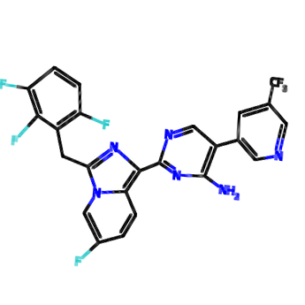 Nc1nc(-c2nc(Cc3c(F)ccc(F)c3F)n3cc(F)ccc23)ncc1-c1cncc(C(F)(F)F)c1